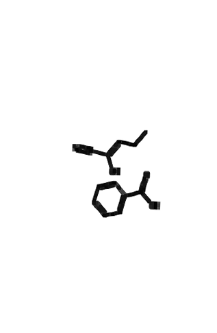 CCC=C(O)C#N.O=C(O)c1ccccc1